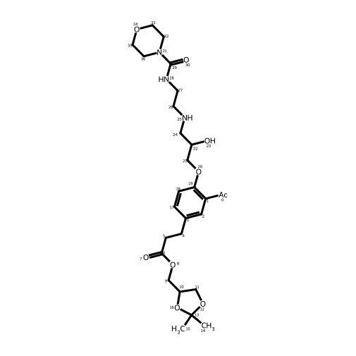 CC(=O)c1cc(CCC(=O)OCC2COC(C)(C)O2)ccc1OCC(O)CNCCNC(=O)N1CCOCC1